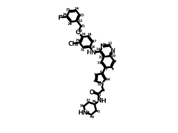 O=C(Cn1ccc(-c2ccc3ncnc(Nc4ccc(OCc5cccc(F)c5)c(Cl)c4)c3c2)c1)NC1CCNCC1